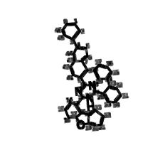 c1ccc(-c2ccc3cc(C4=NC(c5cccc6oc7ccccc7c56)NC(c5ccccc5-c5ccccc5)=N4)ccc3c2)cc1